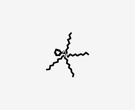 CCCCCCCC[CH2][Ti]([CH2]CCCCCCCC)([CH2]CCCCCCCC)([CH2]CCCCCCCC)[O]c1ccccc1